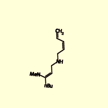 C=C/C=C\CNC/C=C(/CCCC)NC